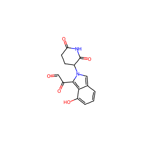 O=CC(=O)c1c2c(O)cccc2cn1C1CCC(=O)NC1=O